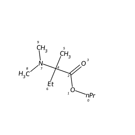 CCCOC(=O)C(C)(CC)N(C)C